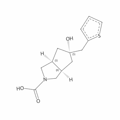 O=C(O)N1C[C@@H]2C[C@](O)(Cc3cccs3)C[C@@H]2C1